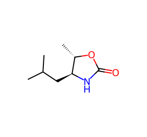 CC(C)C[C@@H]1NC(=O)O[C@H]1C